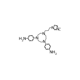 C[n+]1ccn(CCCN2CCN(c3ccc(N)cc3)CCN(c3ccc(N)cc3)CC2)c1